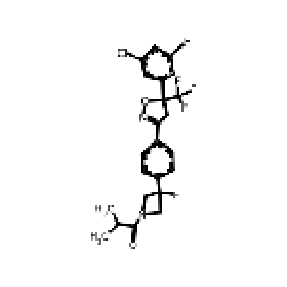 CC(C)C(=O)N1CC(F)(c2ccc(C3=NOC(c4cc(F)cc(Cl)c4)(C(F)(F)F)C3)cc2)C1